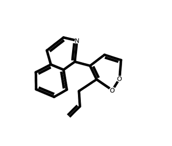 C=CCC1=C(c2nccc3ccccc23)C=COO1